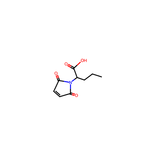 CCCC(C(=O)O)N1C(=O)C=CC1=O